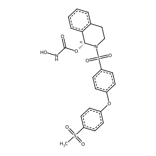 CS(=O)(=O)c1ccc(Oc2ccc(S(=O)(=O)N3CCc4ccccc4[C@H]3OC(=O)NO)cc2)cc1